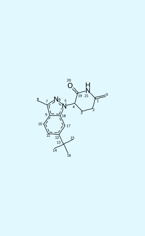 C=C1CCC(n2nc(C)c3ccc(C(C)(C)C)cc32)C(=O)N1